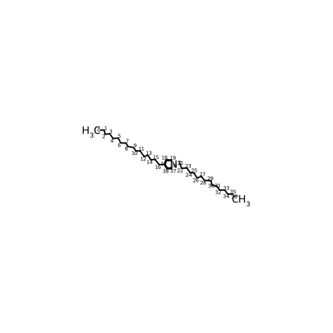 CCCCCCCCCCCCCCCCCc1cc[n+](CCCCCCCCCCCCCCCC)cc1